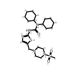 CS(=O)(=O)N1CCN(Cc2cnc(NC(=O)N(C3CCCCC3)C3CCCCC3)s2)CC1